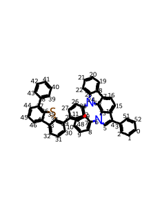 c1ccc(-c2cn(-c3ccccc3)c3c2ccc2c4ccccc4n(-c4ccc(-c5cccc6c5sc5c(-c7ccccc7)cccc56)cc4)c23)cc1